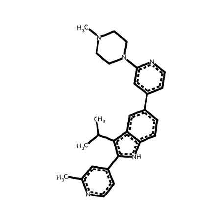 Cc1cc(-c2[nH]c3ccc(-c4ccnc(N5CCN(C)CC5)c4)cc3c2C(C)C)ccn1